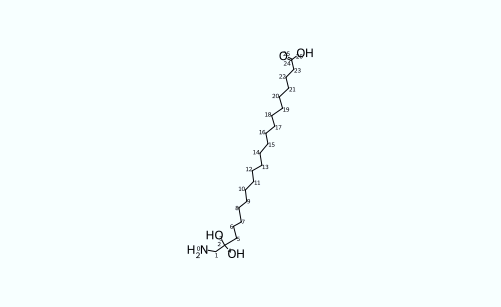 NCC(O)(O)CCCCCCCCCCCCCCCCCCCC(=O)O